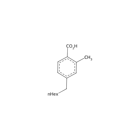 CCCCCCCc1ccc(C(=O)O)c(C)c1